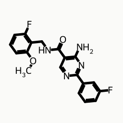 COc1cccc(F)c1CNC(=O)c1cnc(-c2cccc(F)c2)nc1N